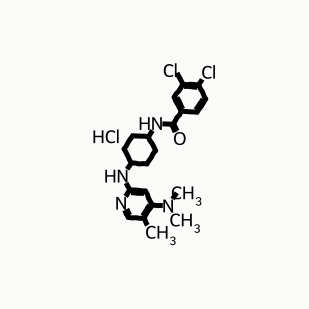 Cc1cnc(NC2CCC(NC(=O)c3ccc(Cl)c(Cl)c3)CC2)cc1N(C)C.Cl